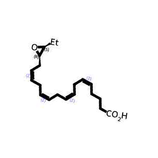 CC[C@@H]1O[C@@H]1C/C=C\C/C=C\C/C=C\C/C=C\CCCC(=O)O